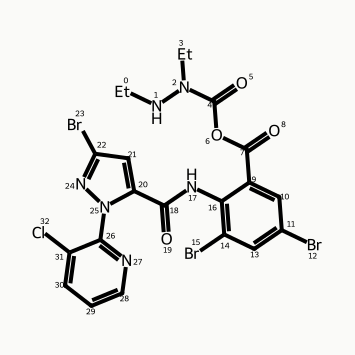 CCNN(CC)C(=O)OC(=O)c1cc(Br)cc(Br)c1NC(=O)c1cc(Br)nn1-c1ncccc1Cl